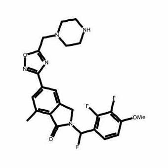 COc1ccc(C(F)N2Cc3cc(-c4noc(CN5CCNCC5)n4)cc(C)c3C2=O)c(F)c1F